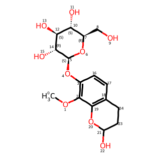 COc1c(O[C@@H]2O[C@H](CO)[C@@H](O)[C@H](O)[C@H]2O)ccc2c1OC(O)CC2